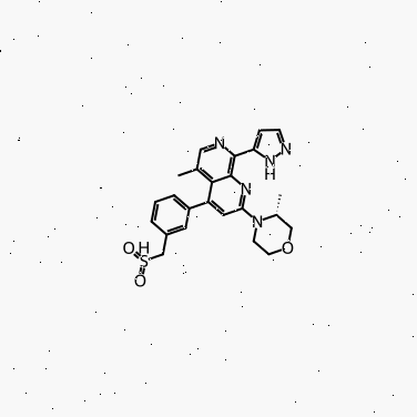 Cc1cnc(-c2ccn[nH]2)c2nc(N3CCOC[C@H]3C)cc(-c3cccc(C[SH](=O)=O)c3)c12